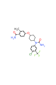 Cc1cc(OC2CCC(N(C(N)=O)c3ccc(Cl)c(C(F)(F)F)c3)CC2)ccc1C(N)=O